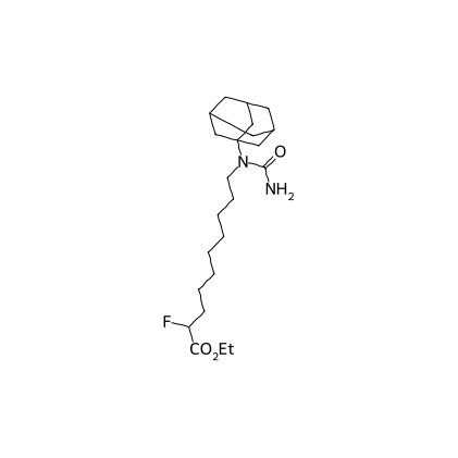 CCOC(=O)C(F)CCCCCCCCN(C(N)=O)C12CC3CC(CC(C3)C1)C2